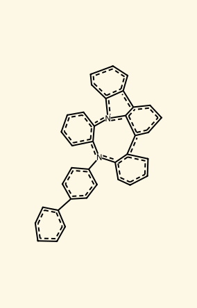 c1ccc(-c2ccc(-n3c4ccccc4c4cccc5c6ccccc6n(c6ccccc63)c45)cc2)cc1